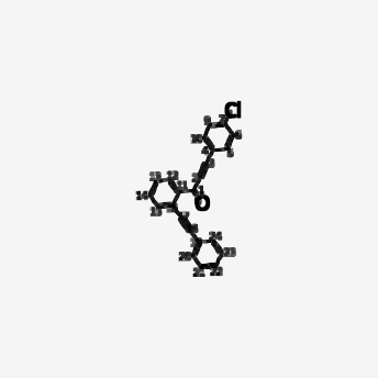 O=C(C#Cc1ccc(Cl)cc1)c1ccccc1C#Cc1ccccc1